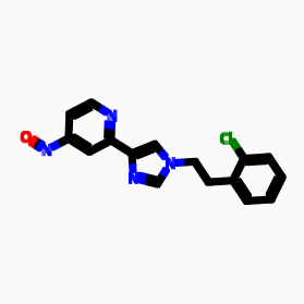 O=Nc1ccnc(-c2cn(CCc3ccccc3Cl)cn2)c1